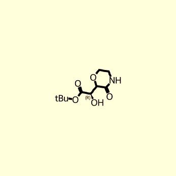 CC(C)(C)OC(=O)[C@H](O)C1OCCNC1=O